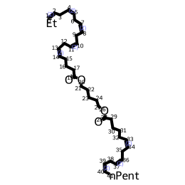 CC/C=C\C/C=C\C/C=C\C/C=C\C/C=C\CCCC(=O)OCCCCCOC(=O)CCCC/C=C\C/C=C\C/C=C\CCCCC